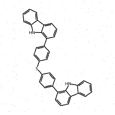 c1ccc2c(c1)[nH]c1c(-c3ccc(Sc4ccc(-c5cccc6c5[nH]c5ccccc56)cc4)cc3)cccc12